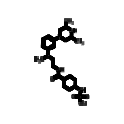 CC1CN(c2cccc(N(C)CCNC(=O)C3CCC(NS(=O)(=O)C(C)(C)C)CC3)c2)CC(C)N1